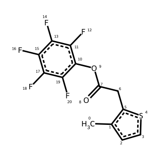 Cc1ccsc1CC(=O)Oc1c(F)c(F)c(F)c(F)c1F